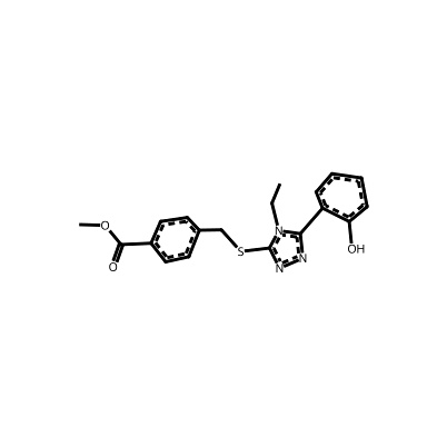 CCn1c(SCc2ccc(C(=O)OC)cc2)nnc1-c1ccccc1O